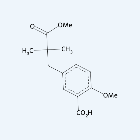 COC(=O)C(C)(C)Cc1ccc(OC)c(C(=O)O)c1